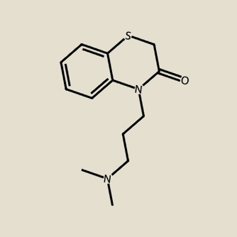 CN(C)CCCN1C(=O)CSc2ccccc21